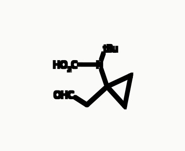 CC(C)(C)N(C(=O)O)C1(CC=O)CC1